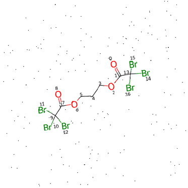 O=C(OCCCOC(=O)C(Br)(Br)Br)C(Br)(Br)Br